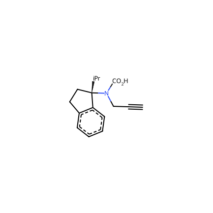 C#CCN(C(=O)O)[C@@]1(C(C)C)CCc2ccccc21